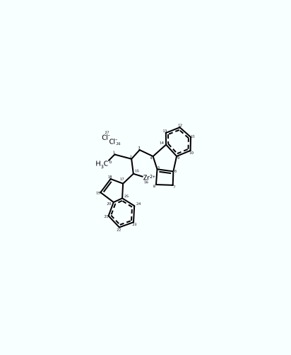 CCC(CC1C2=C(CC2)c2ccccc21)[CH]([Zr+2])C1C=Cc2ccccc21.[Cl-].[Cl-]